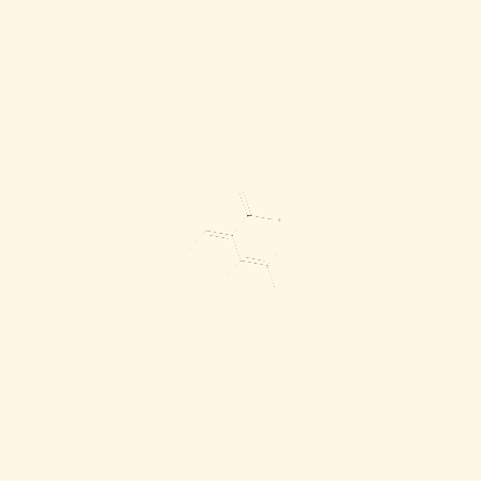 C=C(O)C(=C/C)/C(C)=C(/C)CC